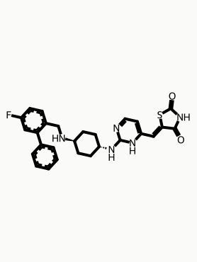 O=C1NC(=O)/C(=C/C2=CC=NC(N[C@H]3CC[C@H](NCc4ccc(F)cc4-c4ccccc4)CC3)N2)S1